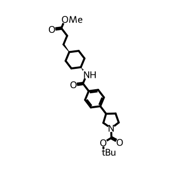 COC(=O)CC[C@H]1CC[C@H](NC(=O)c2ccc(C3CCN(C(=O)OC(C)(C)C)C3)cc2)CC1